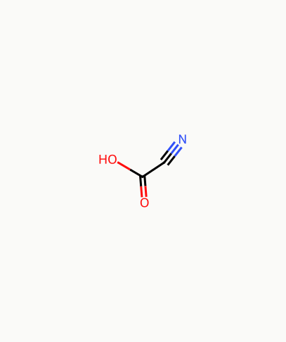 N#CC(=O)O